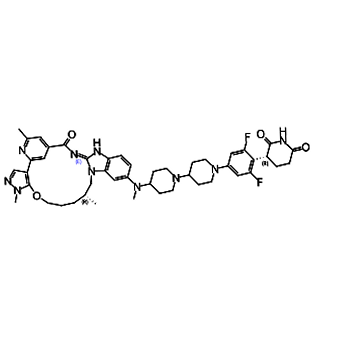 Cc1cc2cc(n1)-c1cnn(C)c1OCCC[C@@H](C)CN1/C(=N/C2=O)Nc2ccc(N(C)C3CCN(C4CCN(c5cc(F)c([C@H]6CCC(=O)NC6=O)c(F)c5)CC4)CC3)cc21